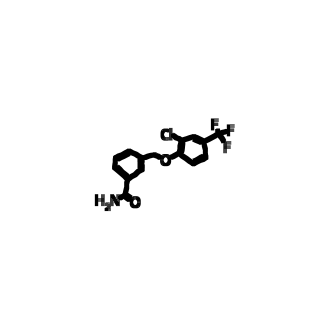 NC(=O)c1cccc(COc2ccc(C(F)(F)F)cc2Cl)c1